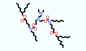 CCCCCCN(CCCCC(=O)OCC(CCCCC)CCCCC)C(=O)OCCN(CCOC(=O)N(CCCCCC)CCCCC(=O)OCC(CCCCC)CCCCC)CCN(CC)CC